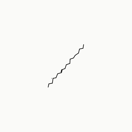 CCC[CH]CCC=CCCCCCCCCCC